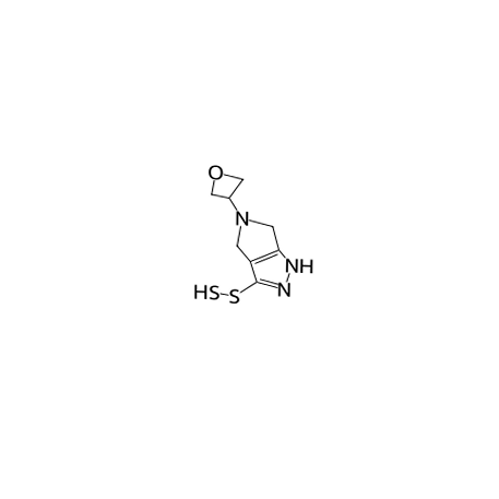 SSc1n[nH]c2c1CN(C1COC1)C2